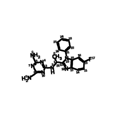 C[C@H](Nc1nc(N)nc(N)n1)c1nc2ccc(F)cc2n1-c1ccccc1